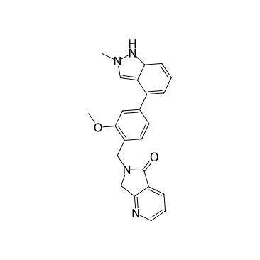 COc1cc(C2=CC=CC3NN(C)C=C23)ccc1CN1Cc2ncccc2C1=O